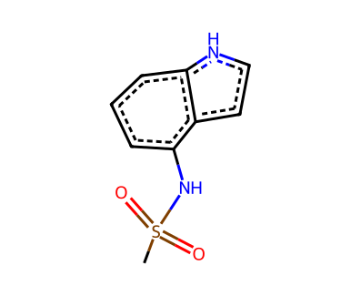 CS(=O)(=O)Nc1cccc2[nH]ccc12